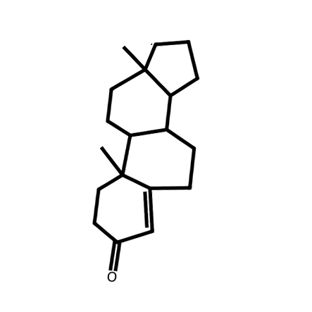 CC12[CH]CCC1C1CCC3=CC(=O)CCC3(C)C1CC2